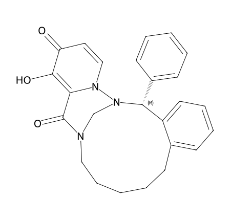 O=C1c2c(O)c(=O)ccn2N2CN1CCCCCc1ccccc1[C@H]2c1ccccc1